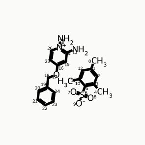 Cc1cc(C)c(S(=O)(=O)[O-])c(C)c1.Nc1cc(OCc2ccccc2)cc[n+]1N